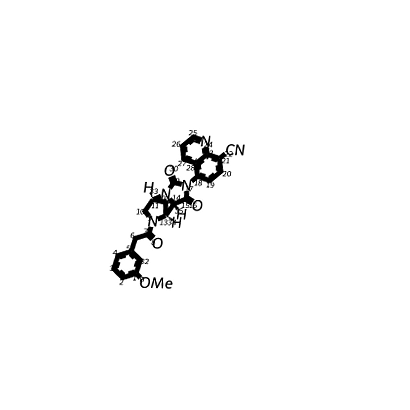 COc1cccc(CC(=O)N2C[C@@H]3C[C@H]2[C@H]2C(=O)N(c4ccc(C#N)c5ncccc45)C(=O)N32)c1